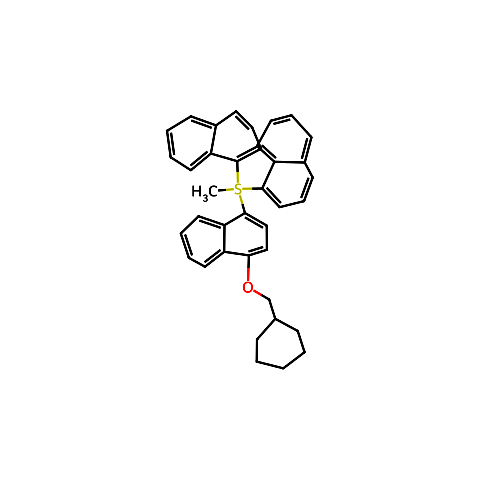 CS(c1cccc2ccccc12)(c1cccc2ccccc12)c1ccc(OCC2CCCCC2)c2ccccc12